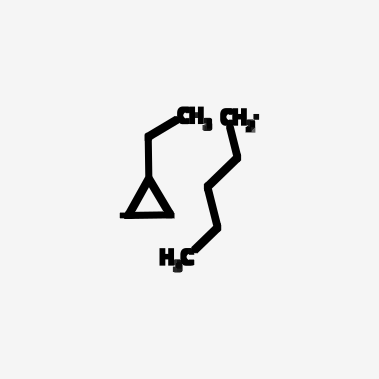 CCC1[CH]C1.[CH2]CCCC